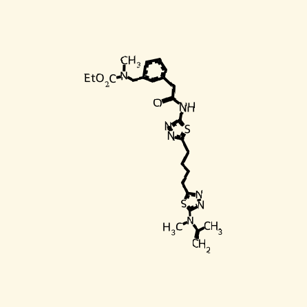 C=C(C)N(C)c1nnc(CCCCc2nnc(NC(=O)Cc3cccc(CN(C)C(=O)OCC)c3)s2)s1